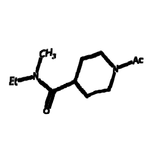 [CH2]CN(C)C(=O)C1CCN(C(C)=O)CC1